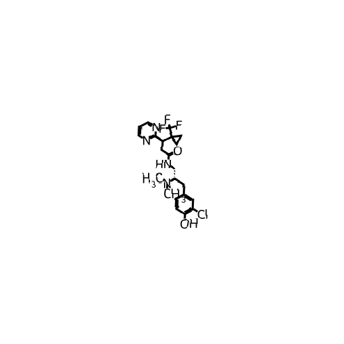 CN(C)[C@H](CNC(=O)CC(c1ncccn1)C1(C(F)(F)F)CC1)Cc1ccc(O)c(Cl)c1